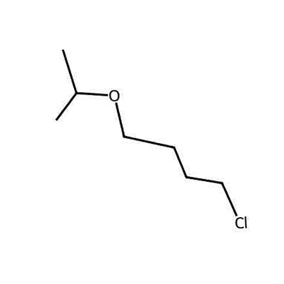 CC(C)OCCCCCl